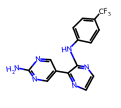 Nc1ncc(-c2nccnc2Nc2ccc(C(F)(F)F)cc2)cn1